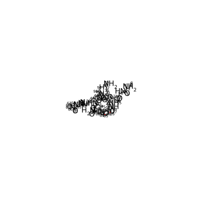 C#CCC(N)C(=O)NCCCCC(CC(C)=O)C(=O)NC(Cc1cc2ccccc2[nH]1)C(=O)CC(CCCCN)C(=O)NC(C(=O)CC(CCCCn1cc(CC(NC)C(=O)N2CCCCC2)nn1)C(=O)NC(CC(C)C)C(=O)CC(Cc1cc2ccccc2[nH]1)C(N)=O)C(C)C